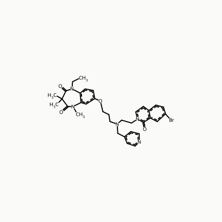 CCN1C(=O)C(C)(C)C(=O)N(C)c2cc(OCCCN(CCn3ccc4ccc(Br)cc4c3=O)Cc3ccncc3)ccc21